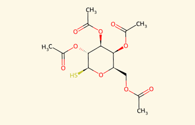 CC(=O)OC[C@H]1O[C@@H](S)[C@H](OC(C)=O)[C@@H](OC(C)=O)[C@H]1OC(C)=O